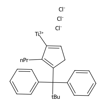 CCCC1=C(C(c2ccccc2)(c2ccccc2)C(C)(C)C)CC=[C]1[Ti+3].[Cl-].[Cl-].[Cl-]